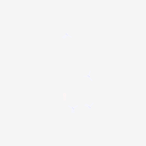 CC(=O)Nc1ncc(CN2CC[C@H](Cc3cncc(F)c3)C2)s1